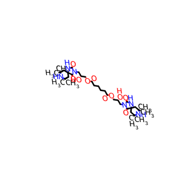 CC1(C)CC2(CC(C)(C)N1)NC(=O)N(CC(O)COC(=O)CCCCC(=O)OCC(O)CN1C(=O)NC3(CC(C)(C)NC(C)(C)C3)C1=O)C2=O